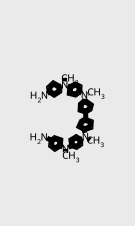 CN(c1ccc(N)cc1)c1ccc(N(C)c2ccc(-c3ccc(N(C)c4ccc(N(C)c5ccc(N)cc5)cc4)cc3)cc2)cc1